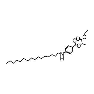 CCCCCCCCCCCCCCCCNc1ccc(C(=O)OC(C)C(=O)OCC)cc1